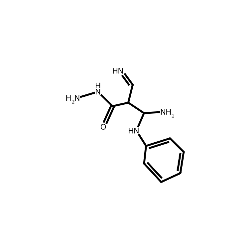 N=CC(C(=O)NN)C(N)Nc1ccccc1